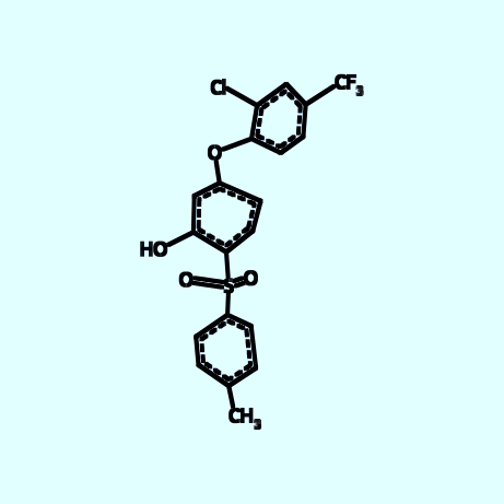 Cc1ccc(S(=O)(=O)c2ccc(Oc3ccc(C(F)(F)F)cc3Cl)cc2O)cc1